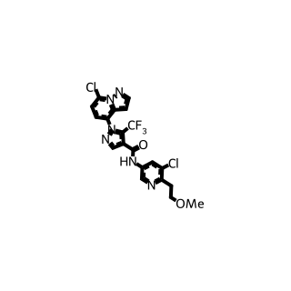 COCCc1ncc(NC(=O)c2cnn(-c3ccc(Cl)n4nccc34)c2C(F)(F)F)cc1Cl